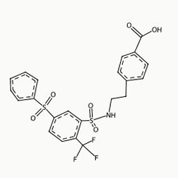 O=C(O)c1ccc(CCNS(=O)(=O)c2cc(S(=O)(=O)c3ccccc3)ccc2C(F)(F)F)cc1